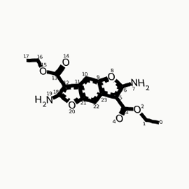 CCOC(=O)c1c(N)oc2cc3c(C(=O)OCC)c(N)oc3cc12